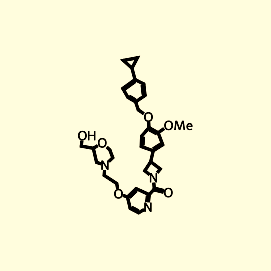 COc1cc(C2CN(C(=O)c3cc(OCCN4CCOC(CO)C4)ccn3)C2)ccc1OCc1ccc(C2CC2)cc1